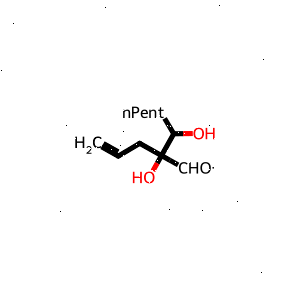 C=CCC(O)([C]=O)C(O)CCCCC